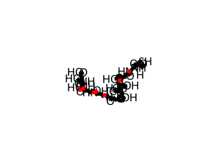 CC(=O)NC(CS)C(=O)NCCNC(=O)CCc1ccc(O)c(CN(CCN(CC(=O)O)Cc2cc(CCC(=O)NCCCCCC(=O)NCCCCC(NC(=O)NC(CCC(=O)O)C(=O)O)C(=O)O)ccc2O)CC(=O)O)c1